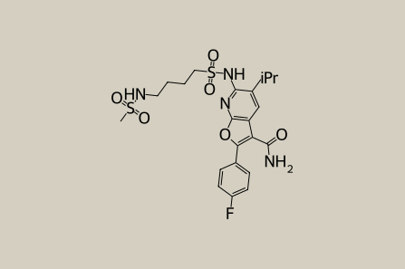 CC(C)c1cc2c(C(N)=O)c(-c3ccc(F)cc3)oc2nc1NS(=O)(=O)CCCCNS(C)(=O)=O